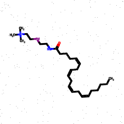 CCCCC/C=C\C/C=C\C/C=C\C/C=C\CCCC(=O)NCCPCC[N+](C)(C)C